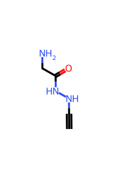 C#CNNC(=O)CN